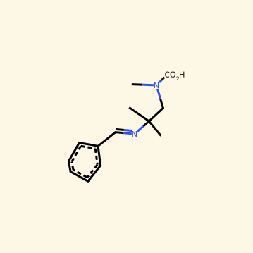 CN(CC(C)(C)/N=C/c1ccccc1)C(=O)O